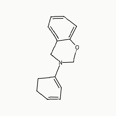 C1=CCCC(N2COc3ccccc3C2)=C1